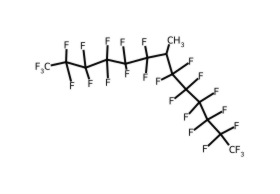 CC(C(F)(F)C(F)(F)C(F)(F)C(F)(F)C(F)(F)C(F)(F)F)C(F)(F)C(F)(F)C(F)(F)C(F)(F)C(F)(F)C(F)(F)F